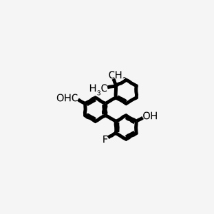 CC1(C)CCCC=C1c1cc(C=O)ccc1-c1cc(O)ccc1F